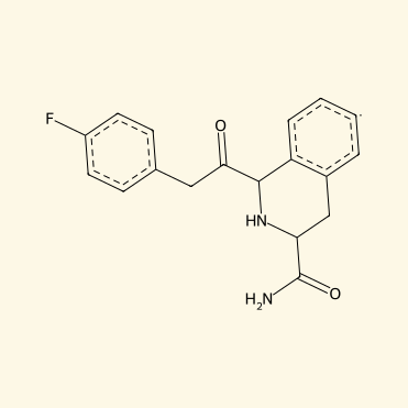 NC(=O)C1Cc2c[c]ccc2C(C(=O)Cc2ccc(F)cc2)N1